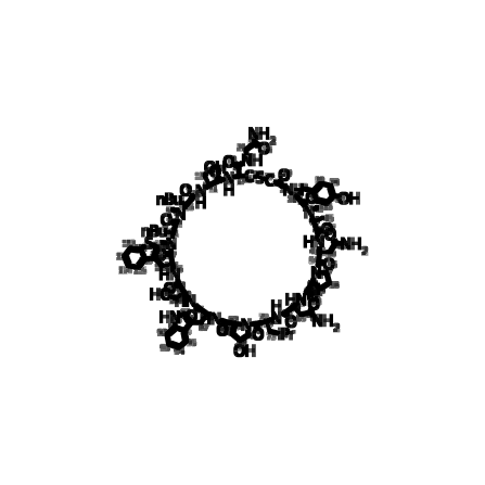 CCCC[C@H]1C(=O)N(C)[C@@H](CCCC)C(=O)N[C@@H](CO)C(=O)NC(C(=O)NCC(N)=O)CSCC(=O)N[C@@H](Cc2ccc(O)cc2)C(=O)N(C)[C@@H](C)C(=O)N[C@@H](CC(N)=O)C(=O)N2CCC[C@H]2C(=O)N[C@@H](CC(N)=O)C(=O)N[C@@H](CC(C)C)C(=O)N2C[C@H](O)C[C@H]2C(=O)N[C@@H](Cc2c[nH]c3ccccc23)C(=O)N[C@@H](CO)C(=O)N[C@@H](Cc2csc3ccccc23)C(=O)N1C